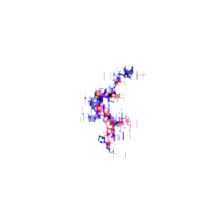 CCCC[C@H](NC(=O)[C@@H]1CCCN1C(=O)/C=C/[C@@H](C)CC)C(=O)N[C@H](C(=O)NC(C)(C)C(=O)N[C@@H](CC(C)C)C(=O)N[C@@H](CC(C)C)C(=O)NC(C)(C)C(=O)NC(C)(C)C(=O)NCCC(=O)N[C@@H](C)CN(C)C)[C@H](O)C(C)C